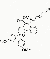 COC(=O)c1c2c(c3ccccc3c1OCCOCCO)OC(c1ccc(OC)cc1)(c1ccc(OC)cc1)C=C2